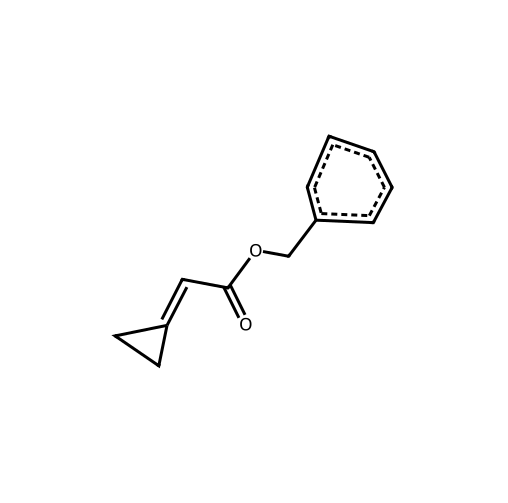 O=C(C=C1CC1)OCc1ccccc1